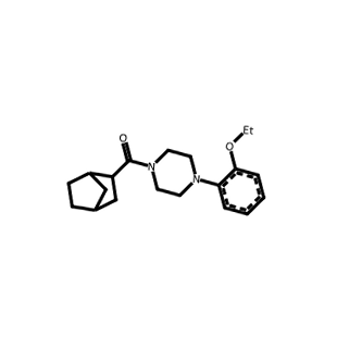 CCOc1ccccc1N1CCN(C(=O)C2CC3CCC2C3)CC1